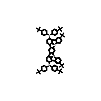 CC(C)(C)c1ccc(N(c2ccc(C(C)(C)C)cc2)c2ccc3c4cc5c6ccc(N(c7ccc(C(C)(C)C)cc7)c7ccc(C(C)(C)C)cc7)c7c8cc(C(C)(C)C)ccc8n(c5cc4n4c5ccc(C(C)(C)C)cc5c2c34)c67)cc1